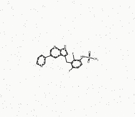 CS(=O)(=O)Nc1ccc(F)c(Cc2c[nH]c3ncc(-c4cccnc4)cc23)c1F